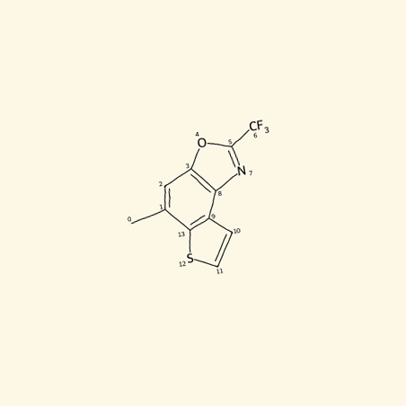 Cc1cc2oc(C(F)(F)F)nc2c2ccsc12